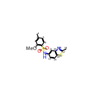 COc1cc(C)ccc1S(=O)(=O)Nc1ccc2sc(C)nc2c1